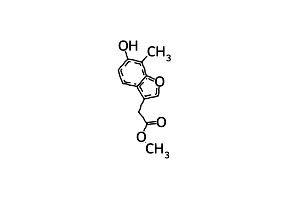 COC(=O)Cc1coc2c(C)c(O)ccc12